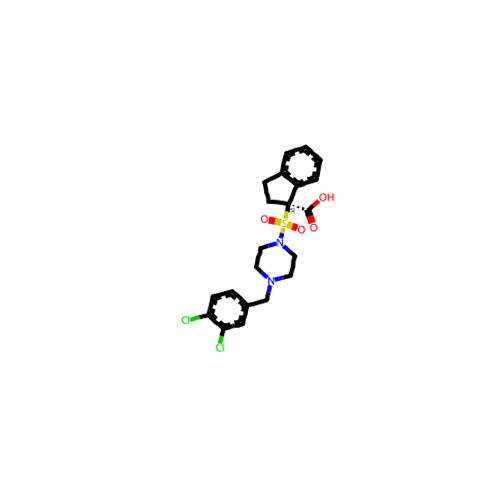 O=C(O)[C@]1(S(=O)(=O)N2CCN(Cc3ccc(Cl)c(Cl)c3)CC2)CCc2ccccc21